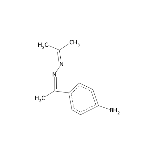 Bc1ccc(/C(C)=N\N=C(C)C)cc1